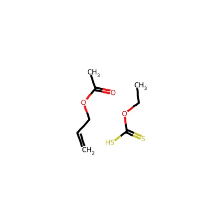 C=CCOC(C)=O.CCOC(=S)S